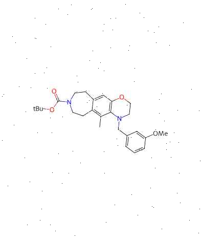 COc1cccc(CN2CCOc3cc4c(c(C)c32)CCN(C(=O)OC(C)(C)C)CC4)c1